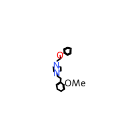 COC1=CCCC=C1CCN1CCN(CCOc2ccccc2)CC1